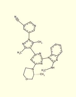 CNc1nc2ccccc2n1-c1nc(-c2c(C)nn(-c3cncc(C#N)c3)c2C)cc(N2CCOC[C@H]2C)n1